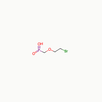 O=[PH](O)COCCBr